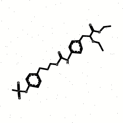 CCOC(=O)C(Cc1ccc(NC(=O)OCCCc2ccc(OS(C)(=O)=O)cc2)cc1)OCC